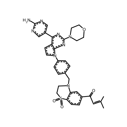 CC(C)=CC(=O)c1ccc2c(c1)N(Cc1ccc(-n3ccc4c(-c5cnc(N)nc5)nc(N5CCOCC5)nc43)cc1)CCS2(=O)=O